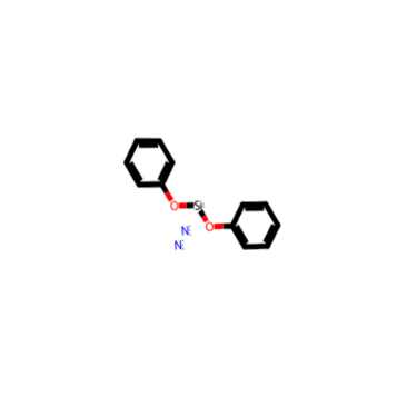 [N].[N].c1ccc(O[Si]Oc2ccccc2)cc1